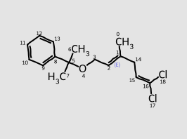 C/C(=C\COC(C)(C)c1ccccc1)CC=C(Cl)Cl